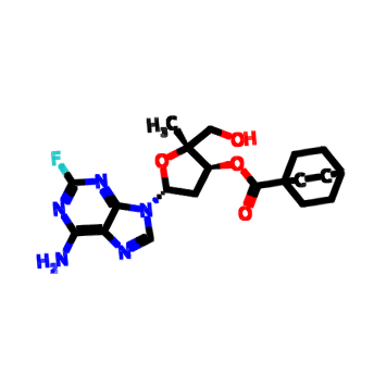 C[C@]1(CO)O[C@@H](n2cnc3c(N)nc(F)nc32)C[C@@H]1OC(=O)C12CCC(CC1)CC2